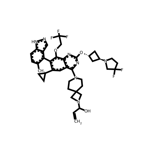 C=CC(O)N1CC2(CCN(c3nc(O[C@H]4C[C@H](N5CCC(F)(F)C5)C4)nc4c(OCC(F)(F)F)c(-c5c(C)ccc6[nH]ncc56)c(C5CC5)cc34)CC2)C1